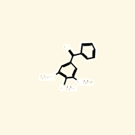 COc1cc(C(=O)c2ccccc2)cc(OC)c1OC